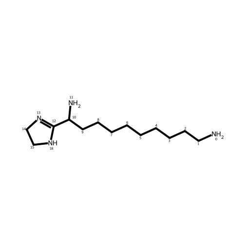 NCCCCCCCCCC(N)C1=NCCN1